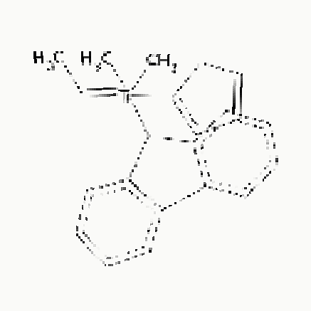 C[CH]=[Ti]([CH3])([CH3])([C]1=CC=CC1)[CH]1c2ccccc2-c2ccccc21